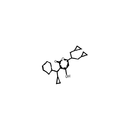 O=c1oc(C(CC2CC2)CC2CC2)cc(O)c1C(C1CCCCC1)C1CC1